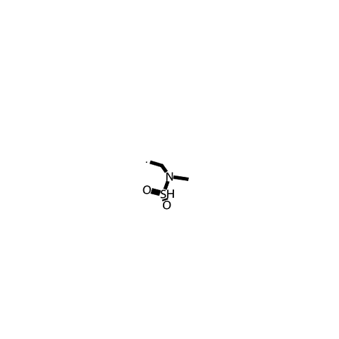 [CH2]CN(C)[SH](=O)=O